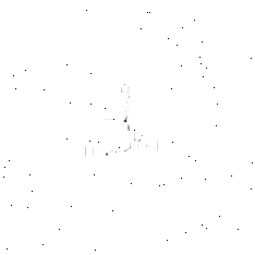 CC(O)(/C=C/[C@H]1CC[C@H](O)[C@@H]1C/C=C\CCCC(=O)O)CCCCCC1CCCC1